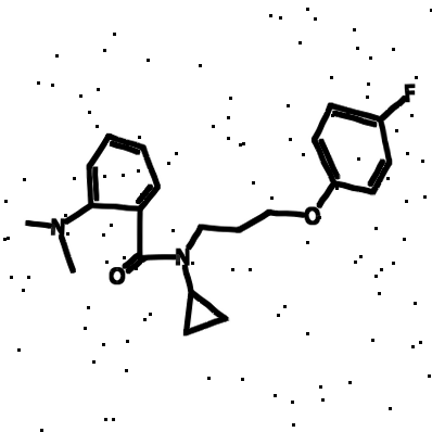 CN(C)c1ccccc1C(=O)N(CCCOc1ccc(F)cc1)C1CC1